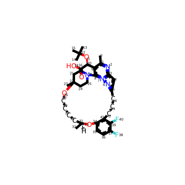 Cc1nc2cc3nn2c(c1[C@H](OC(C)(C)C)C(=O)O)N1CCC(C)(CC1)OCCCC[C@H](C)Oc1ccc(F)c(F)c1CCC3